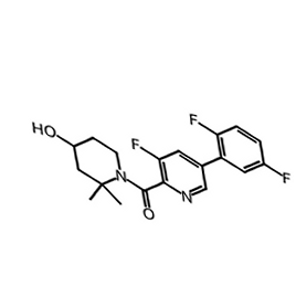 CC1(C)CC(O)CCN1C(=O)c1ncc(-c2cc(F)ccc2F)cc1F